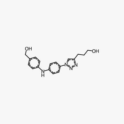 OCCCc1cn(-c2ccc(Nc3ccc(CO)cc3)cc2)nn1